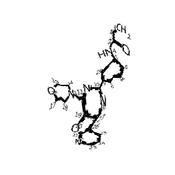 C=CC(=O)Nc1cccc(-c2nc(N3CCOCC3)c3oc4ncccc4c3n2)c1